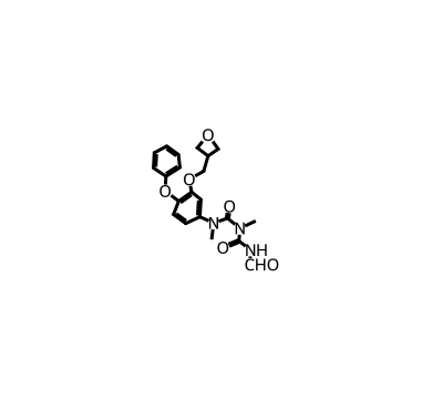 CN(C(=O)NC=O)C(=O)N(C)c1ccc(Oc2ccccc2)c(OCC2COC2)c1